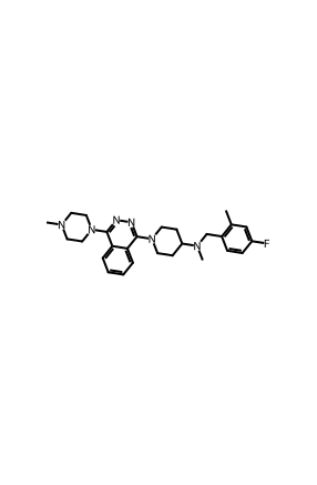 Cc1cc(F)ccc1CN(C)C1CCN(c2nnc(N3CCN(C)CC3)c3ccccc23)CC1